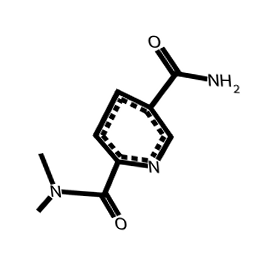 CN(C)C(=O)c1ccc(C(N)=O)cn1